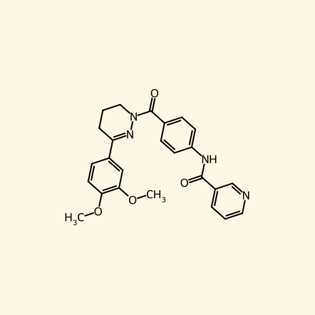 COc1ccc(C2=NN(C(=O)c3ccc(NC(=O)c4cccnc4)cc3)CCC2)cc1OC